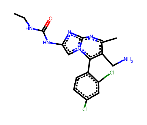 CCNC(=O)Nc1cn2c(-c3ccc(Cl)cc3Cl)c(CN)c(C)nc2n1